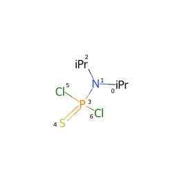 CC(C)N(C(C)C)P(=S)(Cl)Cl